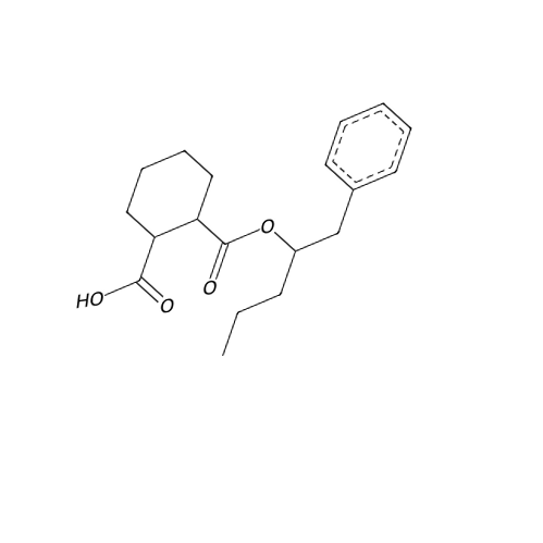 CCCC(Cc1ccccc1)OC(=O)C1CCCCC1C(=O)O